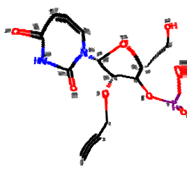 C#CCO[C@H]1C(O[PH](=O)O)[C@@H](CO)O[C@H]1n1ccc(=O)[nH]c1=O